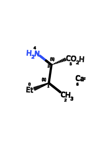 CC[C@H](C)[C@H](N)C(=O)O.[Ca]